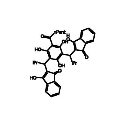 CCCCCC(=O)c1c(O)c(C(C2=C(O)c3ccccc3C2=O)C(C)C)c(O)c(C(C2=C(O)c3ccccc3C2=O)C(C)C)c1O